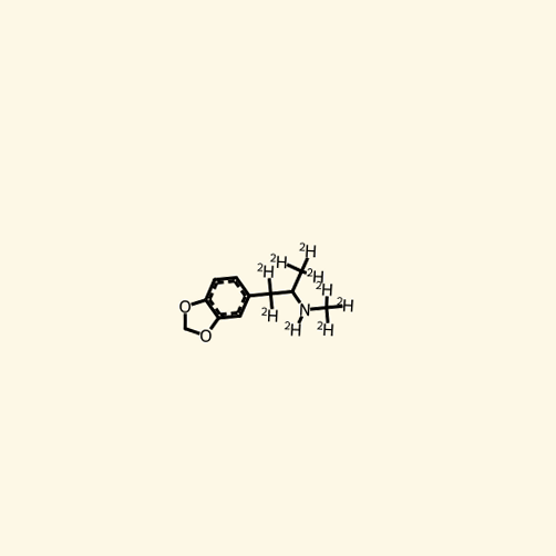 [2H]N(C(C([2H])([2H])[2H])C([2H])([2H])c1ccc2c(c1)OCO2)C([2H])([2H])[2H]